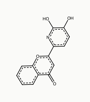 O=c1cc(-c2ccc(O)c(O)n2)oc2ccccc12